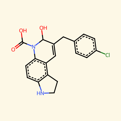 O=C(O)N1c2ccc3c(c2C=C(Cc2ccc(Cl)cc2)C1O)CCN3